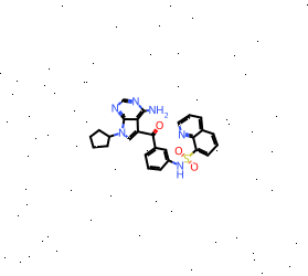 Nc1ncnc2c1c(C(=O)c1cccc(NS(=O)(=O)c3cccc4cccnc34)c1)cn2C1CCCC1